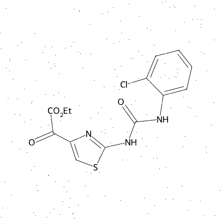 CCOC(=O)C(=O)c1csc(NC(=O)Nc2ccccc2Cl)n1